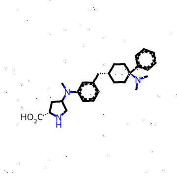 CN(c1cccc(C[C@H]2CC[C@](c3ccccc3)(N(C)C)CC2)c1)C1CN[C@H](C(=O)O)C1